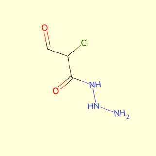 NNNC(=O)C(Cl)C=O